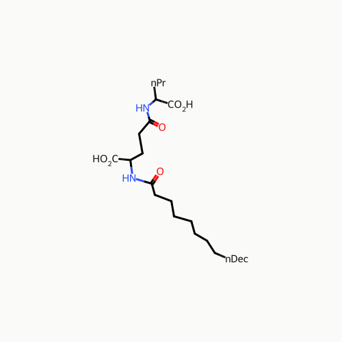 CCCCCCCCCCCCCCCCCC(=O)NC(CCC(=O)NC(CCC)C(=O)O)C(=O)O